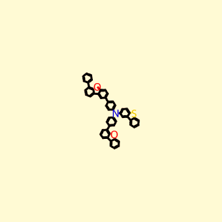 c1ccc(-c2cccc3c2oc2ccc(-c4ccc(N(c5ccc(-c6cccc7c6oc6ccccc67)cc5)c5ccc6sc7ccccc7c6c5)cc4)cc23)cc1